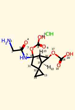 Cl.NCC(=O)N[C@]1(OC(=O)O)CC2(CC2)[C@@H]2[C@H](OC(=O)O)[C@H]21